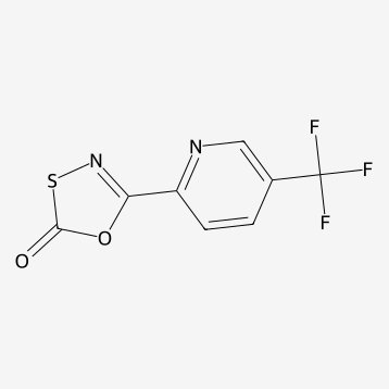 O=c1oc(-c2ccc(C(F)(F)F)cn2)ns1